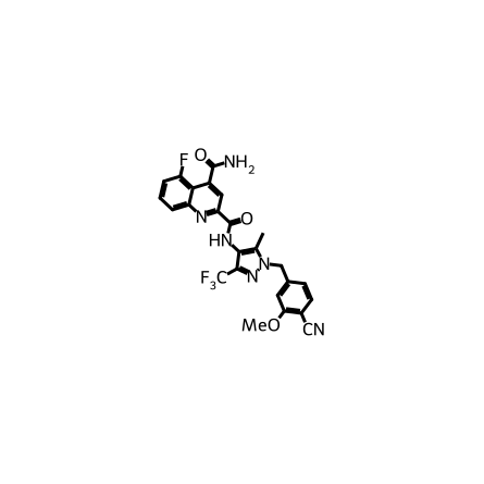 COc1cc(Cn2nc(C(F)(F)F)c(NC(=O)c3cc(C(N)=O)c4c(F)cccc4n3)c2C)ccc1C#N